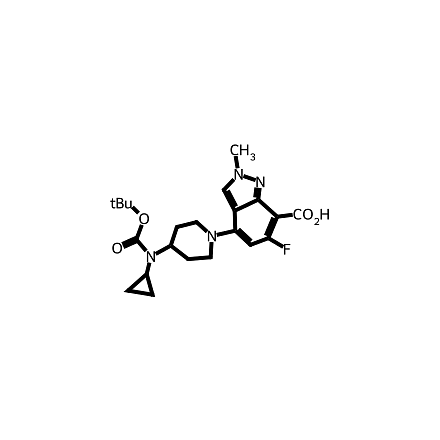 Cn1cc2c(N3CCC(N(C(=O)OC(C)(C)C)C4CC4)CC3)cc(F)c(C(=O)O)c2n1